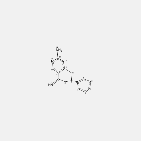 N=C1CC(c2ccccc2)Cc2nc(N)ncc21